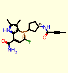 CC#CC(=O)N[C@@H]1CCC([SH]2c3c([nH]c(C)c3C)C(C(N)=O)=CC2F)C1